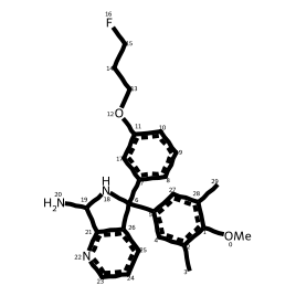 COc1c(C)cc(C2(c3cccc(OCCCF)c3)NC(N)c3ncccc32)cc1C